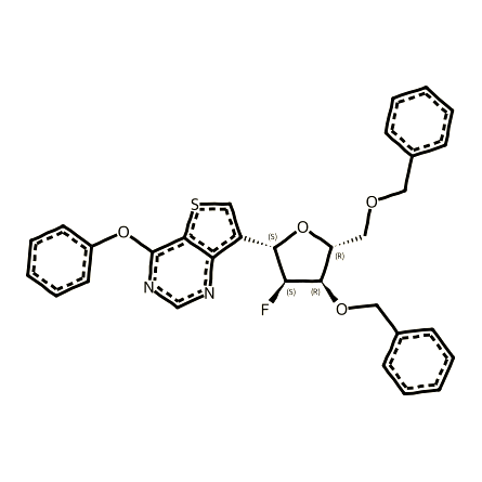 F[C@@H]1[C@H](OCc2ccccc2)[C@@H](COCc2ccccc2)O[C@H]1c1csc2c(Oc3ccccc3)ncnc12